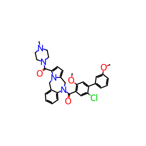 COc1cccc(-c2cc(OC)c(C(=O)N3Cc4ccc(C(=O)N5CCN(C)CC5)n4Cc4ccccc43)cc2Cl)c1